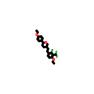 CCOc1ccc(C2CCC(CCc3ccc(OCC)c(C(F)F)c3F)CO2)cc1